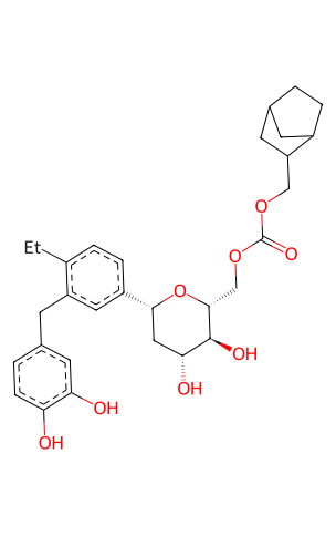 CCc1ccc([C@H]2C[C@@H](O)[C@H](O)[C@@H](COC(=O)OCC3CC4CCC3C4)O2)cc1Cc1ccc(O)c(O)c1